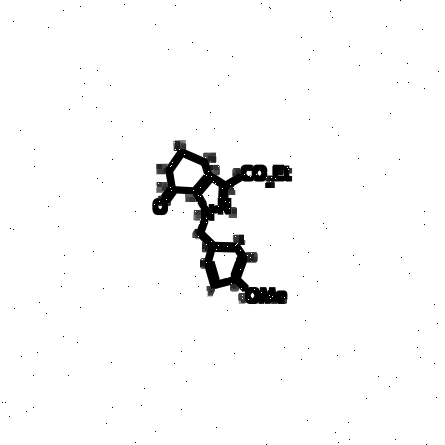 CCOC(=O)c1nn(Cc2ccc(OC)cc2)c2c1CCCC2=O